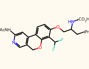 CC(=O)Nc1cc2c(cn1)COc1c-2ccc(OCC(CC(C)C)NC(=O)O)c1C(F)F